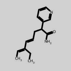 C/C=C(/C=C/CC(C(N)=O)c1cccnc1)CC